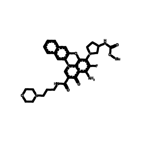 CC(C)(C)OC(=O)NC1CCN(c2c(F)c(N)c3c(=O)c(C(=O)NCCCN4CCOCC4)cn4c3c2Oc2cc3ccccc3cc2-4)C1